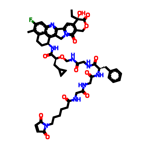 CC[C@@]1(O)C(=O)OCc2c1cc1n(c2=O)Cc2c-1nc1cc(F)c(C)c3c1c2[C@@H](NC(=O)[C@H](CC1CC1)OCNC(=O)CNC(=O)[C@H](Cc1ccccc1)NC(=O)CNC(=O)CNC(=O)CCCCCN1C(=O)C=CC1=O)CC3